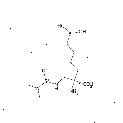 CN(C)[S+]([O-])NCC(N)(CCCCB(O)O)C(=O)O